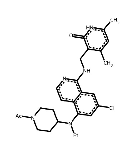 CCN(c1cc(Cl)cc2c(NCc3c(C)cc(C)[nH]c3=O)nccc12)C1CCN(C(C)=O)CC1